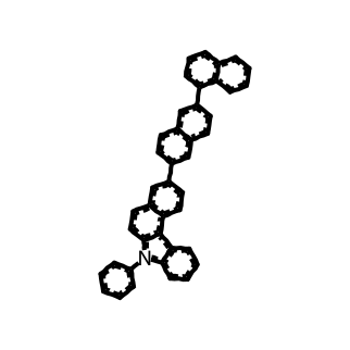 c1ccc(-n2c3ccccc3c3c4ccc(-c5ccc6cc(-c7cccc8ccccc78)ccc6c5)cc4ccc32)cc1